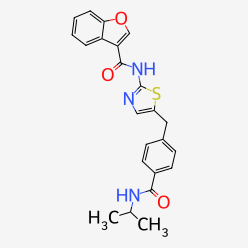 CC(C)NC(=O)c1ccc(Cc2cnc(NC(=O)c3coc4ccccc34)s2)cc1